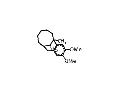 COc1cc2c(cc1OC)C1(C)CCCCCC(C2)C1N